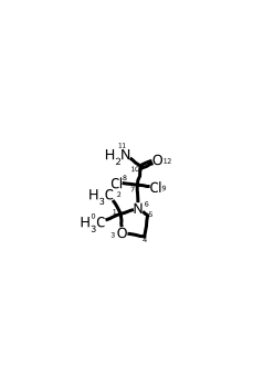 CC1(C)OCCN1C(Cl)(Cl)C(N)=O